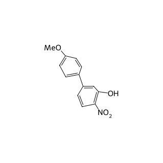 COc1ccc(-c2ccc([N+](=O)[O-])c(O)c2)cc1